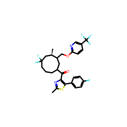 Cc1nc(C(=O)C2CCCC(F)(F)C[C@@H](C)C(COc3ccc(C(F)(F)F)cn3)C2)c(-c2ccc(F)cc2)s1